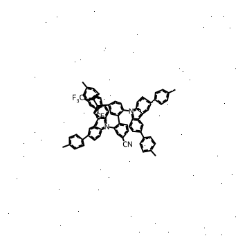 Cc1ccc(-c2ccc3c(c2)c2cc(-c4ccc(C)cc4)ccc2n3-c2ccc(-c3ccc(C(F)(F)F)cc3C(F)(F)F)cc2-c2ccc(C#N)cc2-n2c3ccc(-c4ccc(C)cc4)cc3c3cc(-c4ccc(C)cc4)ccc32)cc1